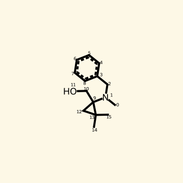 CN(Cc1ccccc1)C1(CO)CC1(C)C